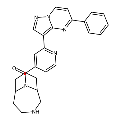 O=C(c1ccnc(-c2cnn3ccc(-c4ccccc4)nc23)c1)N1C2CCCC1CNCC2